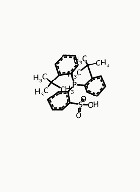 CC(C)(C)c1ccccc1P(c1ccccc1C(C)(C)C)c1ccccc1S(=O)(=O)O